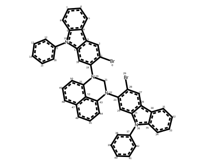 Brc1cc2c3ccccc3n(-c3ccccc3)c2cc1N1CN(c2cc3c(cc2Br)c2ccccc2n3-c2ccccc2)c2cccc3cccc1c23